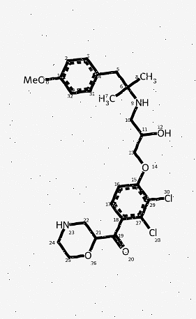 COc1ccc(CC(C)(C)NCC(O)COc2ccc(C(=O)C3CNCCO3)c(Cl)c2Cl)cc1